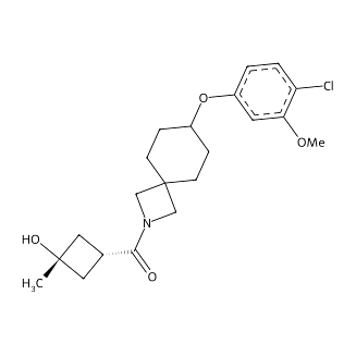 COc1cc(OC2CCC3(CC2)CN(C(=O)[C@H]2C[C@@](C)(O)C2)C3)ccc1Cl